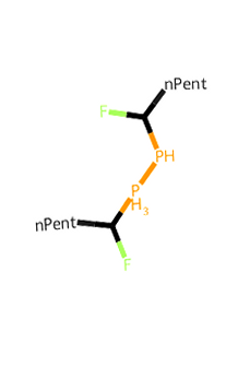 CCCCCC(F)P[PH3]C(F)CCCCC